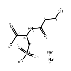 O=C(CCS)N[C@@H](CS(=O)(=O)[O-])C(=O)[O-].[Na+].[Na+]